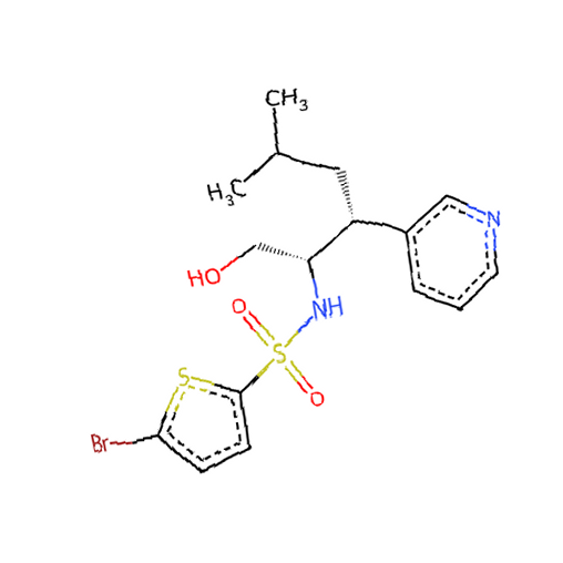 CC(C)C[C@H](c1cccnc1)[C@@H](CO)NS(=O)(=O)c1ccc(Br)s1